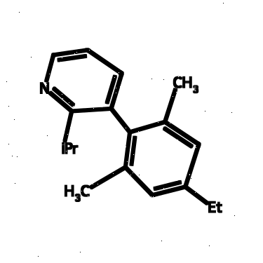 CCc1cc(C)c(-c2cccnc2C(C)C)c(C)c1